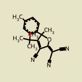 Cc1ccc(C2(C)OC(=C(C#N)C#N)C(C#N)=C2C(C)(C)C)cc1